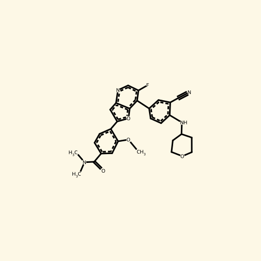 COc1cc(C(=O)N(C)C)ccc1-c1cc2ncc(F)c(-c3ccc(NC4CCOCC4)c(C#N)c3)c2o1